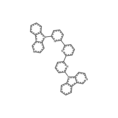 c1cc(-c2cccc(-n3c4ccccc4c4cnccc43)n2)nc(-c2cccc(-n3c4ccccc4c4cnccc43)n2)c1